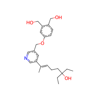 CCC(O)(CC)CCC=C(C)c1cncc(COc2ccc(CO)c(CO)c2)c1